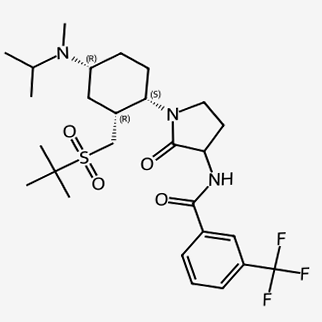 CC(C)N(C)[C@@H]1CC[C@H](N2CCC(NC(=O)c3cccc(C(F)(F)F)c3)C2=O)[C@H](CS(=O)(=O)C(C)(C)C)C1